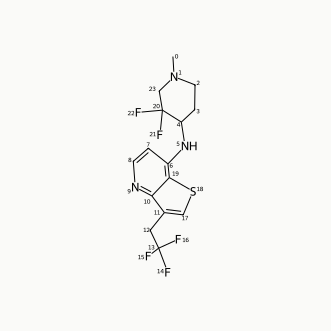 CN1CCC(Nc2ccnc3c(CC(F)(F)F)csc23)C(F)(F)C1